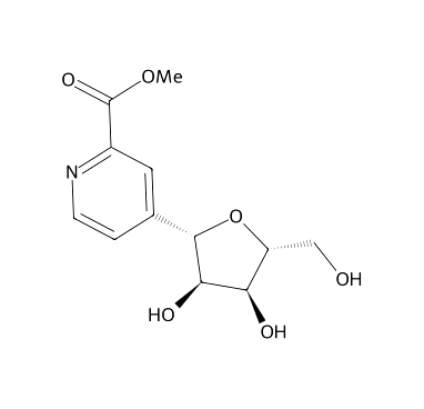 COC(=O)c1cc([C@@H]2O[C@H](CO)[C@@H](O)[C@H]2O)ccn1